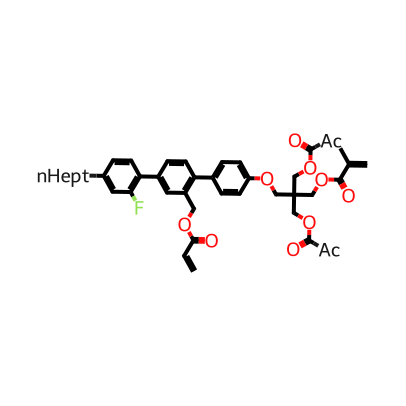 C=CC(=O)OCc1cc(-c2ccc(CCCCCCC)cc2F)ccc1-c1ccc(OCC(COC(=O)C(=C)C)(COC(=O)C(C)=O)COC(=O)C(C)=O)cc1